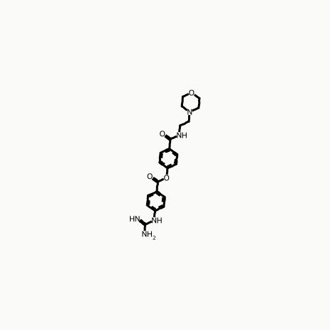 N=C(N)Nc1ccc(C(=O)Oc2ccc(C(=O)NCCN3CCOCC3)cc2)cc1